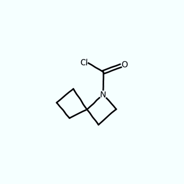 O=C(Cl)N1CCC12CCC2